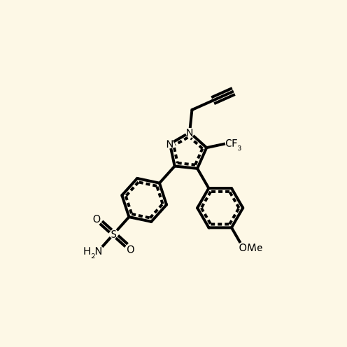 C#CCn1nc(-c2ccc(S(N)(=O)=O)cc2)c(-c2ccc(OC)cc2)c1C(F)(F)F